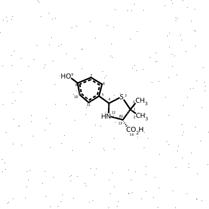 CC1(C)SC(c2ccc(O)cc2)N[C@H]1C(=O)O